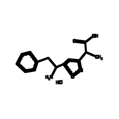 CC(C(=O)O)c1cc(C(N)Cc2ccccc2)on1.Cl